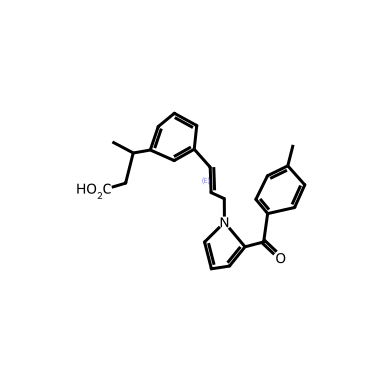 Cc1ccc(C(=O)c2cccn2C/C=C/c2cccc(C(C)CC(=O)O)c2)cc1